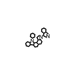 c1ccc(-n2c3ccccc3c3ccc4ccc5c(ccn5-c5cncc6ccccc56)c4c32)cc1